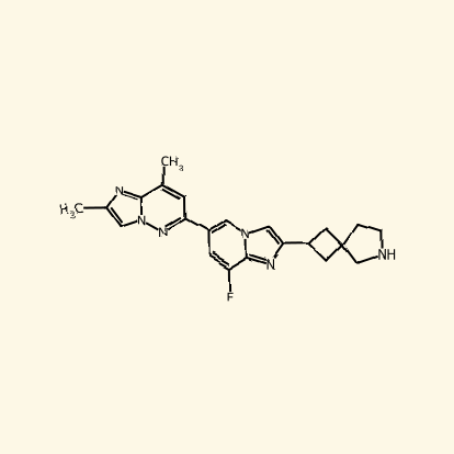 Cc1cn2nc(-c3cc(F)c4nc(C5CC6(CCNC6)C5)cn4c3)cc(C)c2n1